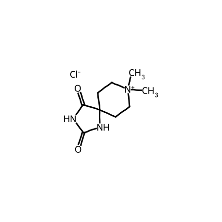 C[N+]1(C)CCC2(CC1)NC(=O)NC2=O.[Cl-]